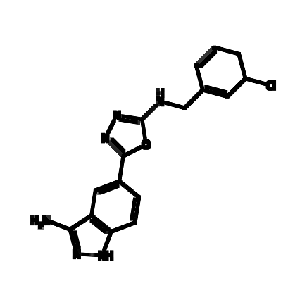 Nc1n[nH]c2ccc(-c3nnc(NCC4=CC(Cl)CC=C4)o3)cc12